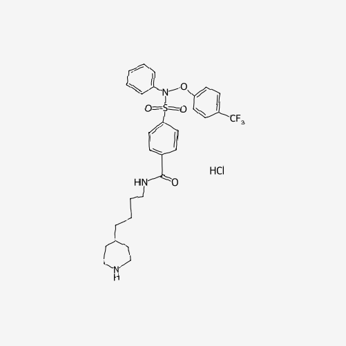 Cl.O=C(NCCCCC1CCNCC1)c1ccc(S(=O)(=O)N(Oc2ccc(C(F)(F)F)cc2)c2ccccc2)cc1